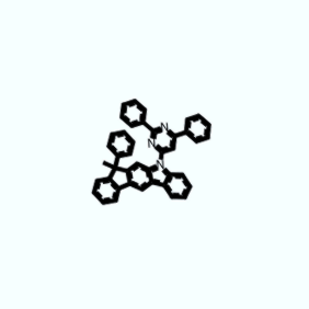 CC1(c2ccccc2)c2ccccc2-c2cc3c4ccccc4n(-c4cc(-c5ccccc5)nc(-c5ccccc5)n4)c3cc21